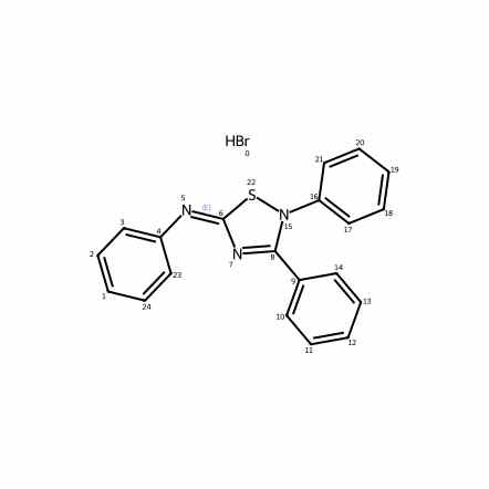 Br.c1ccc(/N=c2\nc(-c3ccccc3)n(-c3ccccc3)s2)cc1